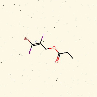 CCC(=O)OC/C(I)=C(/Br)I